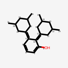 CC1CC(=c2cccc(O)c2=C2CC(C)CC(C)C2)CC(C)C1